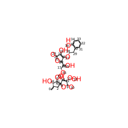 C=CC[C@]1([C@@H](O)CO)OC(=O)C(OO)=C1OOC[C@H](O)[C@H]1OC(=O)C(O)=C1OCCc1ccccc1O